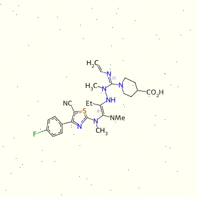 C=C/N=C(/N1CCC(C(=O)O)CC1)N(C)N/C(CC)=C(\NC)N(C)c1nc(-c2ccc(F)cc2)c(C#N)s1